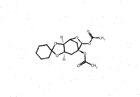 CC(=O)OC1OC2C[C@@]1(OC(C)=O)C[C@H]1OC3(CCCCC3)O[C@@H]21